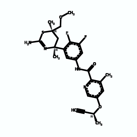 C#C[C@H](C)Oc1cnc(C(=O)Nc2cc(F)c(F)c([C@]3(C)C[C@](C)(COC)SC(N)=N3)c2)c(C)c1